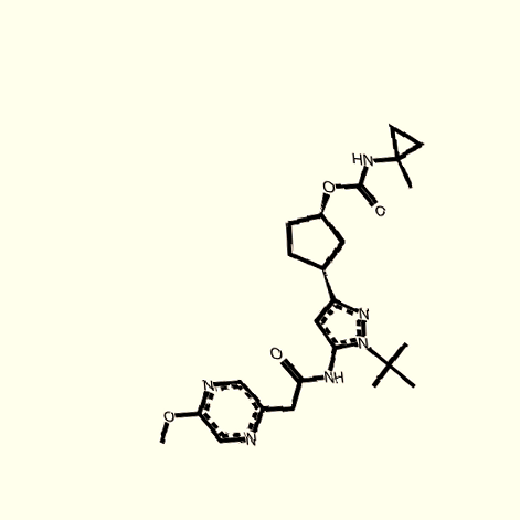 COc1cnc(CC(=O)Nc2cc([C@H]3CC[C@@H](OC(=O)NC4(C)CC4)C3)nn2C(C)(C)C)cn1